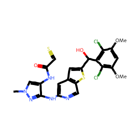 COc1cc(OC)c(Cl)c(C(O)c2cc3cc(Nc4nn(C)cc4NC(=O)C=S)ncc3s2)c1Cl